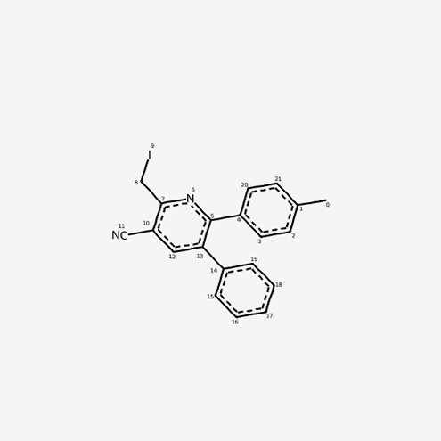 Cc1ccc(-c2nc(CI)c(C#N)cc2-c2ccccc2)cc1